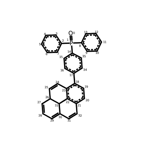 O=P(c1ccccc1)(c1ccccc1)c1ccc(-c2ccc3c4c2C=CC2C=CC=C(C=C3)C42)cc1